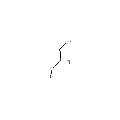 OCC[O][Ti].[Ti]